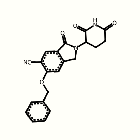 N#Cc1cc2c(cc1OCc1ccccc1)CN(C1CCC(=O)NC1=O)C2=O